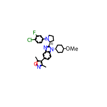 CO[C@H]1CC[C@H](n2c([C@@H]3CCCN3c3ccc(Cl)c(F)c3)nc3cc(-c4c(C)noc4C)ccc32)CC1